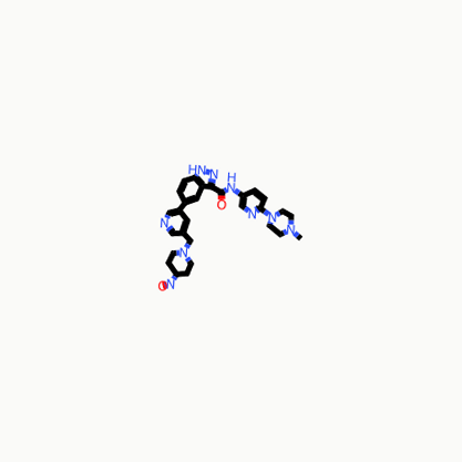 CN1CCN(c2ccc(NC(=O)c3n[nH]c4ccc(-c5cncc(CN6CCC(N=O)CC6)c5)cc34)cn2)CC1